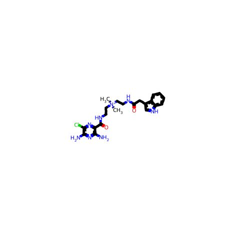 C[N+](C)(CCNC(=O)Cc1c[nH]c2ccccc12)CCNC(=O)c1nc(Cl)c(N)nc1N